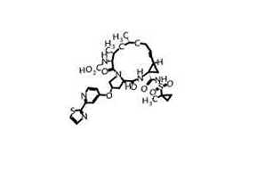 C[C@@H]1CC/C=C\[C@@H]2C[C@@]2(C(=O)NS(=O)(=O)C2(C)CC2)NC(=O)[C@@H]2C[C@@H](Oc3ccnc(-c4nccs4)c3)CN2C(=O)[C@@H](NC(=O)O)[C@H](C)C1